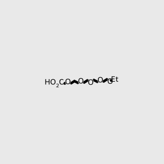 CCOCCOCCOCCOCCCOCC(=O)O